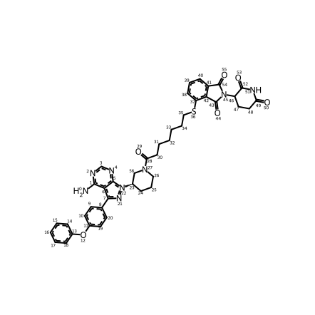 Nc1ncnc2c1c(-c1ccc(Oc3ccccc3)cc1)nn2[C@@H]1CCCN(C(=O)CCCCCCSc2cccc3c2C(=O)N(C2CCC(=O)NC2=O)C3=O)C1